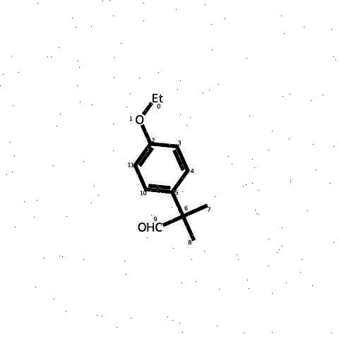 CCOc1ccc(C(C)(C)C=O)cc1